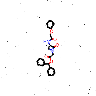 O=C(COc1ccccc1)NC1CN(CC(=O)OC(c2ccccc2)c2ccccc2)C1=O